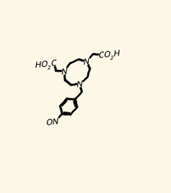 O=Nc1ccc(CN2CCN(CC(=O)O)CCN(CC(=O)O)CC2)cc1